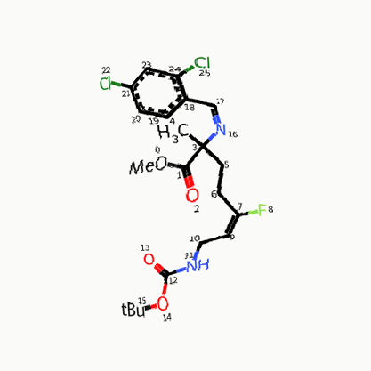 COC(=O)C(C)(CC/C(F)=C\CNC(=O)OC(C)(C)C)/N=C\c1ccc(Cl)cc1Cl